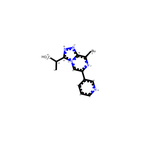 CCC(C)c1nc(-c2cccnc2)cn2c(C(C)C(=O)O)nnc12